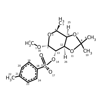 CO[C@@H]1O[C@@H](C)[C@H]2OC(C)(C)O[C@H]2[C@@H]1OS(=O)(=O)c1ccc(C)cc1